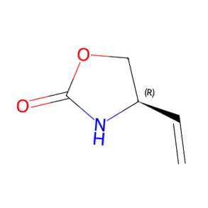 C=C[C@@H]1COC(=O)N1